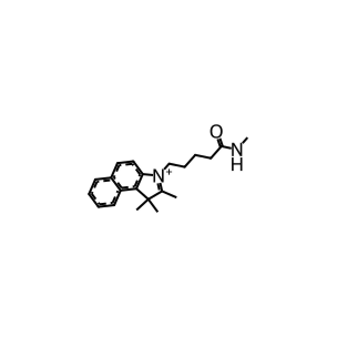 CNC(=O)CCCC[N+]1=C(C)C(C)(C)c2c1ccc1ccccc21